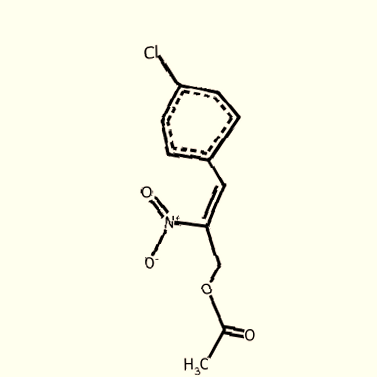 CC(=O)OCC(=Cc1ccc(Cl)cc1)[N+](=O)[O-]